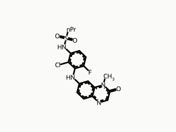 CCCS(=O)(=O)Nc1ccc(F)c(Nc2ccc3ncc(=O)n(C)c3c2)c1Cl